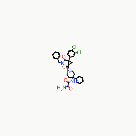 CN(Cc1ccccc1)C(=O)C1(c2ccc(Cl)c(Cl)c2)CC1CN1CCC(NC(=O)C(N)=O)(c2ccccc2)CC1